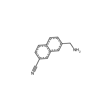 N#Cc1ccc2ccc(CN)cc2c1